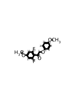 COc1ccc(OCC(=O)c2c(F)cc(OC)cc2F)cc1